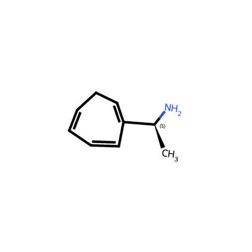 C[C@H](N)C1=CCC=CC=C1